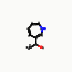 CC([O])C1=CNC=CC=C1